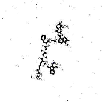 C=CC1=C(/C=C\C)C(COC(=O)NC(CCCCNC(=O)OC(C)(C)C)C(=O)NCC(=O)NCC(=O)N[C@@H](Cc2ccccc2)C(=O)NCC(=O)N[C@H]2CCc3c(C)c(F)cc4nc5c(c2c34)Cn2c-5cc3c(c2=O)COC(=O)[C@]3(O)CC)c2ccccc21